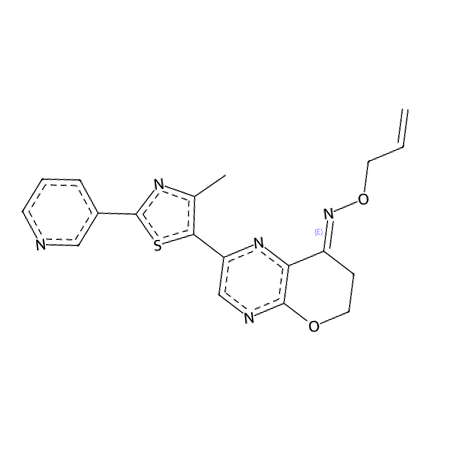 C=CCO/N=C1\CCOc2ncc(-c3sc(-c4cccnc4)nc3C)nc21